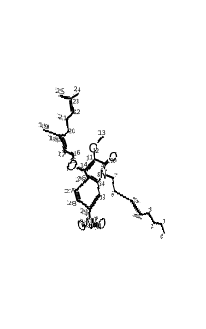 CCCCCCCCn1c(=O)c(OC)c(OCC=C(C)CCC=C(C)C)c2ccc([N+](=O)[O-])cc21